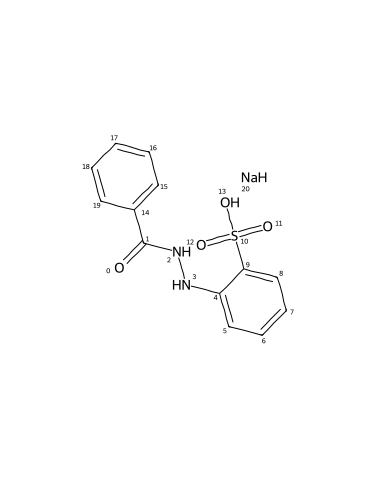 O=C(NNc1ccccc1S(=O)(=O)O)c1ccccc1.[NaH]